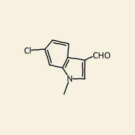 Cn1cc(C=O)c2ccc(Cl)cc21